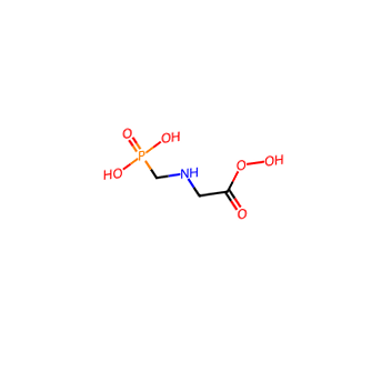 O=C(CNCP(=O)(O)O)OO